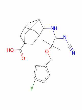 CC(C)(OCc1ccc(F)cc1)/C(=N\C#N)NC1C2CC3CC1CC(C(=O)O)(C3)C2